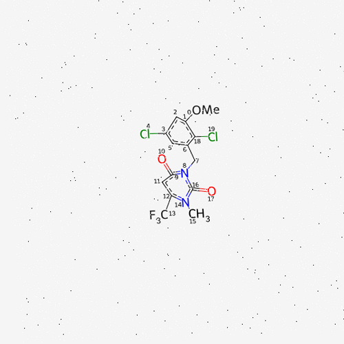 COc1cc(Cl)cc(Cn2c(=O)cc(C(F)(F)F)n(C)c2=O)c1Cl